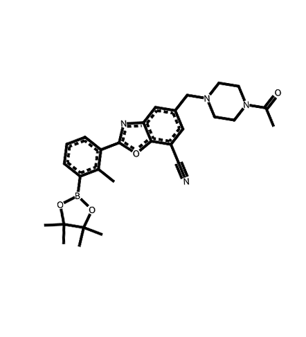 CC(=O)N1CCN(Cc2cc(C#N)c3oc(-c4cccc(B5OC(C)(C)C(C)(C)O5)c4C)nc3c2)CC1